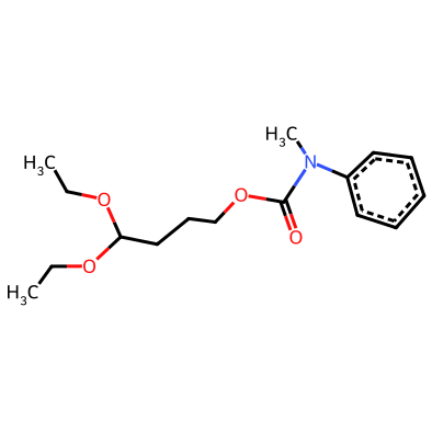 CCOC(CCCOC(=O)N(C)c1ccccc1)OCC